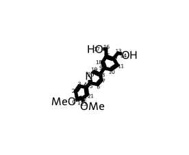 COc1ccc(-c2ccc(-c3ccc(CO)c(CO)c3)cn2)cc1OC